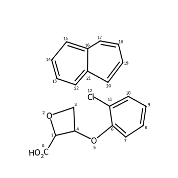 O=C(O)C1OCC1Oc1ccccc1Cl.c1ccc2ccccc2c1